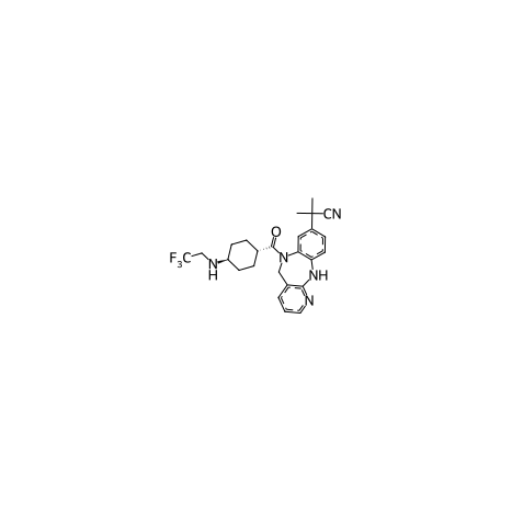 CC(C)(C#N)c1ccc2c(c1)N(C(=O)[C@H]1CC[C@H](NCC(F)(F)F)CC1)Cc1cccnc1N2